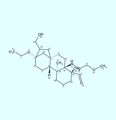 CCO[C@]12CC[C@@H]3[C@](CC[C@@]4(NOCOC)[C@@]3(C)CCC[C@@]4(C)C=O)(CC1CO)C2